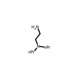 CCCN(CCC)CCN